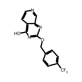 Oc1nc(OCc2ccc(C(F)(F)F)cc2)nc2cnccc12